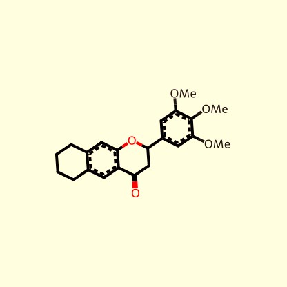 COc1cc(C2CC(=O)c3cc4c(cc3O2)CCCC4)cc(OC)c1OC